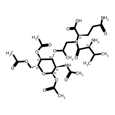 CC(=O)N[C@H]1[C@@H](OC(C)=O)O[C@H](COC(C)=O)[C@@H](OC(C)=O)[C@@H]1OC(C)CN(C(=O)[C@@H](N)C(C)C)[C@H](CCC(N)=O)C(=O)O